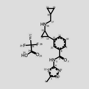 Cc1nnc(NC(=O)c2cccc(C3CC3NCC3CC3)c2)s1.O=C(O)C(F)(F)F